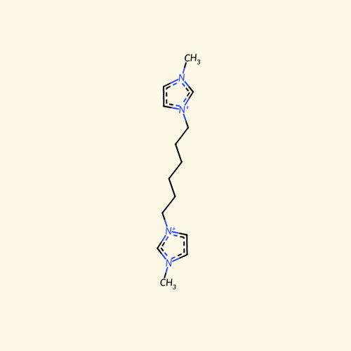 Cn1cc[n+](CCCCCC[n+]2ccn(C)c2)c1